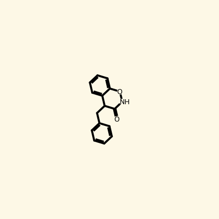 O=C1NOc2ccccc2C1Cc1ccccc1